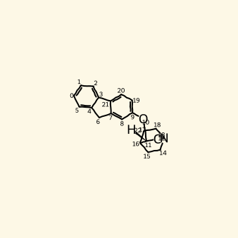 c1ccc2c(c1)Cc1cc(O[C@@H]3CN4CCC3CC4)ccc1-2